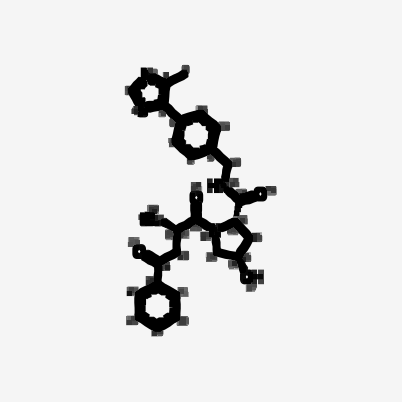 Cc1ncsc1-c1ccc(CNC(=O)[C@@H]2C[C@@H](O)CN2C(=O)[C@@H](CC(=O)c2ccccc2)C(C)(C)C)cc1